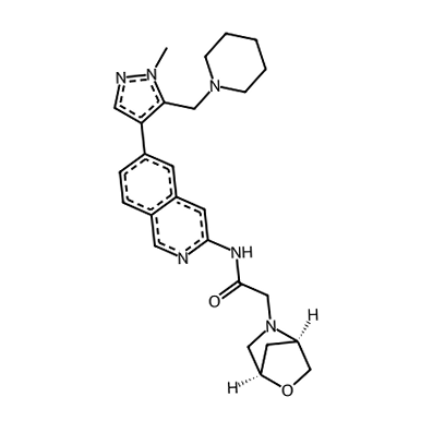 Cn1ncc(-c2ccc3cnc(NC(=O)CN4C[C@H]5C[C@@H]4CO5)cc3c2)c1CN1CCCCC1